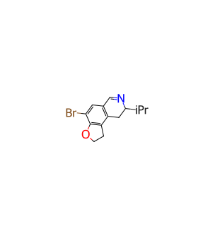 CC(C)C1Cc2c(cc(Br)c3c2CCO3)C=N1